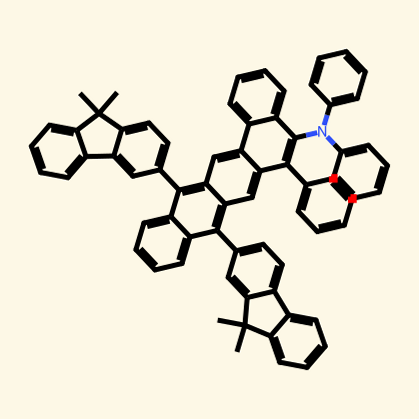 CC1(C)c2ccccc2-c2cc(-c3c4ccccc4c(-c4ccc5c(c4)C(C)(C)c4ccccc4-5)c4cc5c(-c6ccccc6)c(N(c6ccccc6)c6ccccc6)c6ccccc6c5cc34)ccc21